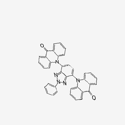 O=c1c2ccccc2n(-c2ccc(-n3c4ccccc4c(=O)c4ccccc43)c3nn(-c4ccccc4)nc23)c2ccccc12